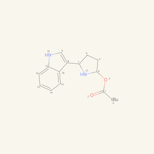 CC(C)(C)C(=O)OC1CCC(c2c[nH]c3ccccc23)N1